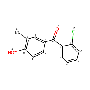 CCc1cc(C(=O)c2ccccc2Cl)ccc1O